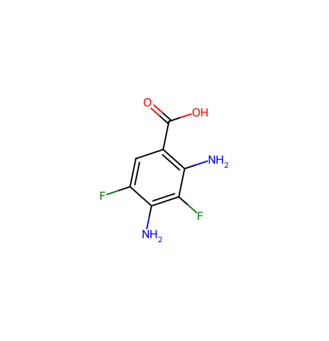 Nc1c(F)cc(C(=O)O)c(N)c1F